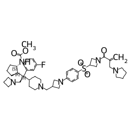 C=C(CN1CCCC1)C(=O)N1CC(S(=O)(=O)c2ccc(N3CC(CN4CCC([C@@](CN5CCC5)(c5cccc(F)c5)[C@H]5CCC[C@@H]5NC(=O)OC)CC4)C3)cc2)C1